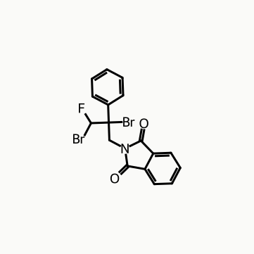 O=C1c2ccccc2C(=O)N1CC(Br)(c1ccccc1)C(F)Br